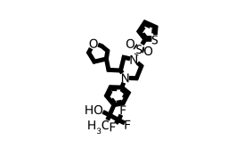 CC(O)(c1ccc(N2CCN(S(=O)(=O)c3cccs3)CC2CC2CCOCC2)cc1)C(F)(F)F